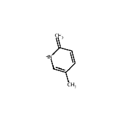 C=C1C=CC(C)=CN1